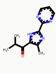 Cc1nc(-c2ncccn2)[nH]c1C(=O)C(C)C